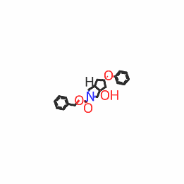 O=C(OCc1ccccc1)N1C[C@H]2C[C@H](Oc3ccccc3)C[C@@]2(O)C1